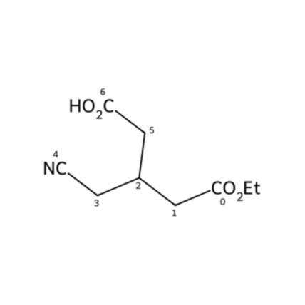 CCOC(=O)CC(CC#N)CC(=O)O